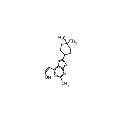 Cc1nc(/C=C\O)c2cc(C3CCC(C)(C)CC3)sc2n1